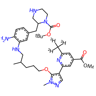 [2H]C([2H])([2H])c1cc(C(=O)OC)cc(-c2cnn(C)c2OCCCC(C)CNc2cc(CC3CNCCN3C(=O)OC(C)(C)C)ccc2N)n1